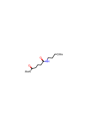 CNC(=O)CCCC(=O)NCCCOC